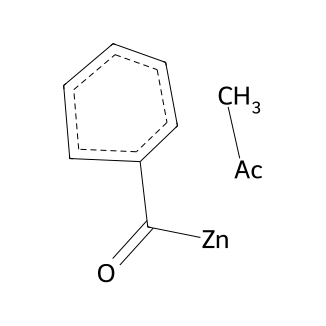 CC(C)=O.O=[C]([Zn])c1ccccc1